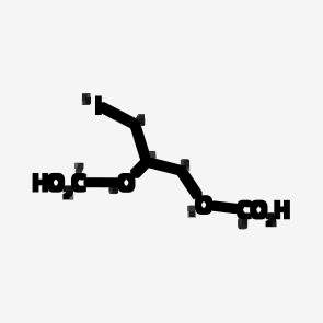 O=C(O)OCC(CI)OC(=O)O